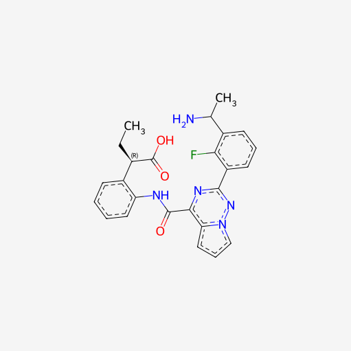 CC[C@@H](C(=O)O)c1ccccc1NC(=O)c1nc(-c2cccc(C(C)N)c2F)nn2cccc12